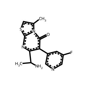 Cc1csc2nc(C(C)N)c(-c3cncc(F)c3)c(=O)n12